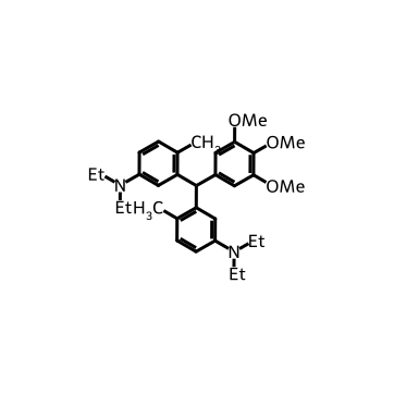 CCN(CC)c1ccc(C)c(C(c2cc(OC)c(OC)c(OC)c2)c2cc(N(CC)CC)ccc2C)c1